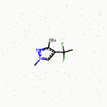 Cn1cc(C(C)(F)F)c(C(C)(C)C)n1